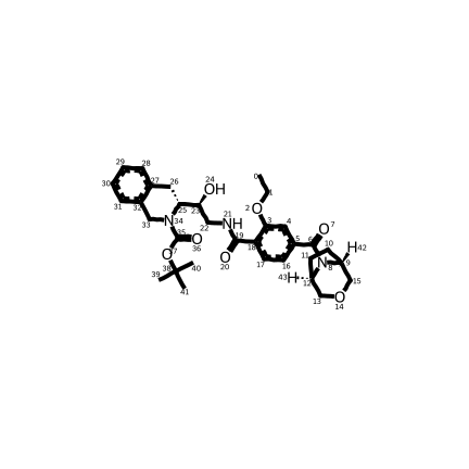 CCOc1cc(C(=O)N2[C@@H]3CC[C@@H]2COC3)ccc1C(=O)NC[C@H](O)[C@H]1Cc2ccccc2CN1C(=O)OC(C)(C)C